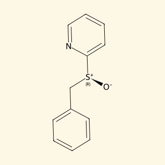 [O-][S@@+](Cc1ccccc1)c1ccccn1